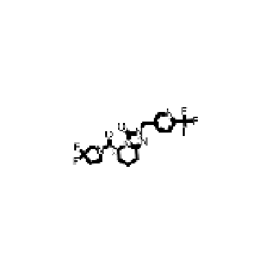 O=C([C@@H]1CCCc2nn(Cc3ccc(C(F)(F)F)nc3)c(=O)n21)N1CCC(F)(F)C1